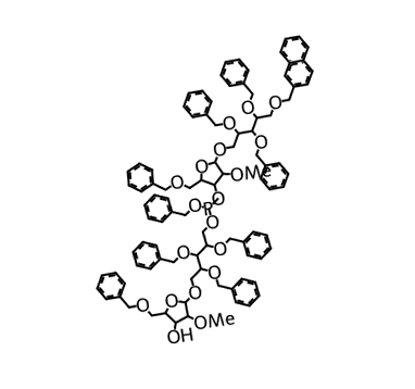 COC1C(OCC(OCc2ccccc2)C(OCc2ccccc2)C(COP(OCc2ccccc2)OC2C(COCc3ccccc3)OC(OCC(OCc3ccccc3)C(OCc3ccccc3)C(COCc3ccc4ccccc4c3)OCc3ccccc3)C2OC)OCc2ccccc2)OC(COCc2ccccc2)C1O